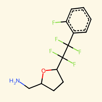 NCC1CCC(C(F)(F)C(F)(F)c2ccccc2F)O1